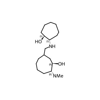 CN[C@@H]1CCCCC(CN[C@H]2CCCCCC[C@@H]2O)C[C@H]1O